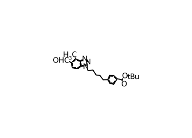 Cc1c(C=O)ccc2c1nnn2CCCCCc1ccc(C(=O)OC(C)(C)C)cc1